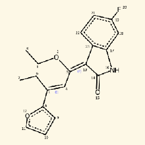 CCOC(/C=C(\CC)c1ccco1)=C1/C(=O)Nc2cc(F)ccc21